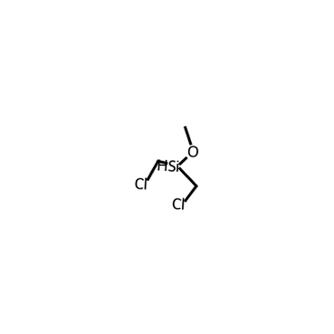 CO[SiH](CCl)CCl